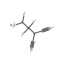 CC(F)C(F)(F)C(C#N)C#N